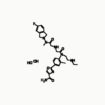 CCNCCN(C(=O)CNCC(=O)N(C)N1Cc2ccc(F)cc2C1)c1ccc(-c2nc(C(N)=O)co2)cc1C.Cl.Cl